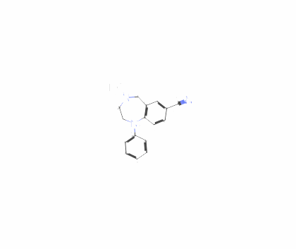 CN1CCN(c2ccccc2)c2ccc(C#N)cc2C1